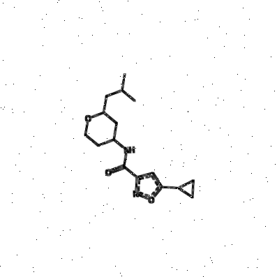 CC(C)CC1CC(NC(=O)c2cc(C3CC3)on2)CCO1